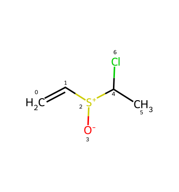 C=C[S+]([O-])C(C)Cl